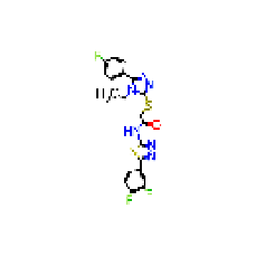 CCn1c(SCC(=O)Nc2nnc(-c3ccc(F)c(F)c3)s2)nnc1-c1ccc(F)cc1